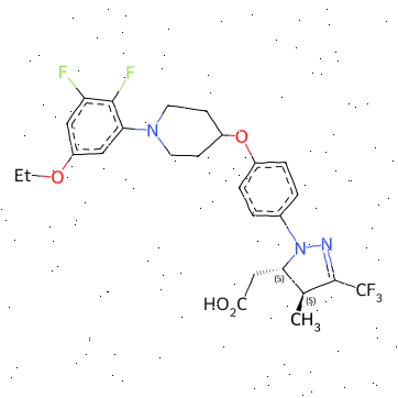 CCOc1cc(F)c(F)c(N2CCC(Oc3ccc(N4N=C(C(F)(F)F)[C@@H](C)[C@@H]4CC(=O)O)cc3)CC2)c1